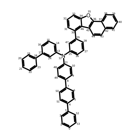 c1ccc(-c2ccc(-c3ccc(N(c4cccc(-c5ccccc5)c4)c4cccc(-c5cccc6oc7c8ccccc8ccc7c56)c4)cc3)cc2)cc1